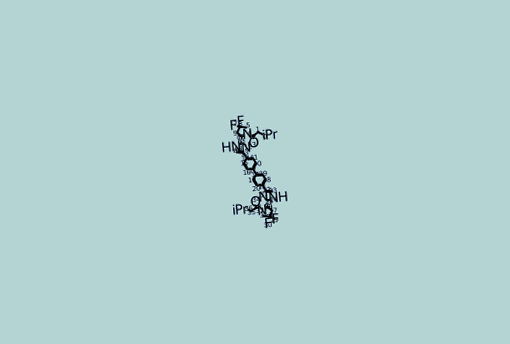 CC(C)CC(=O)N1CC(F)(F)C[C@H]1c1nc(-c2ccc(-c3ccc(-c4c[nH]c([C@@H]5CC(F)(F)CN5C(=O)CC(C)C)n4)cc3)cc2)c[nH]1